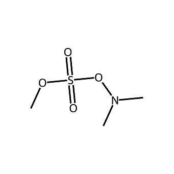 COS(=O)(=O)ON(C)C